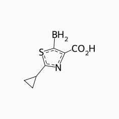 Bc1sc(C2CC2)nc1C(=O)O